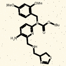 COc1ccc(CN(C(=O)OC(C)(C)C)c2ccc(N)c(CNCC3CSC=N3)n2)c(OC)c1